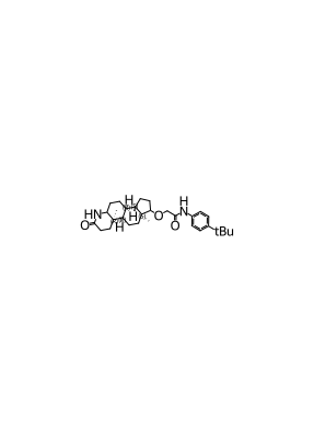 CC(C)(C)c1ccc(NC(=O)COC2CC[C@H]3[C@@H]4CCC5NC(=O)CC[C@]5(C)[C@@H]4CC[C@]23C)cc1